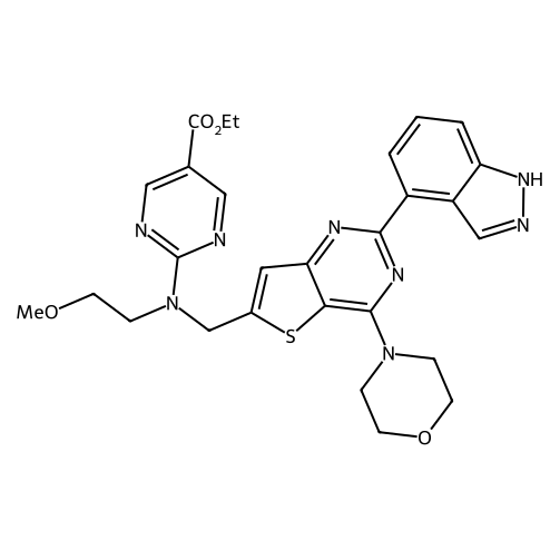 CCOC(=O)c1cnc(N(CCOC)Cc2cc3nc(-c4cccc5[nH]ncc45)nc(N4CCOCC4)c3s2)nc1